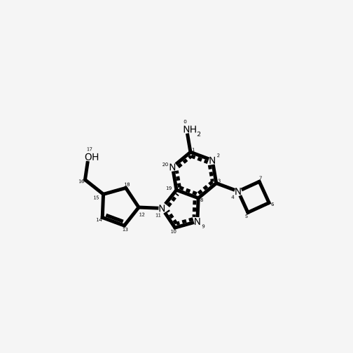 Nc1nc(N2CCC2)c2ncn(C3C=CC(CO)C3)c2n1